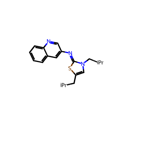 CC(C)Cc1cn(CC(C)C)c(=Nc2cnc3ccccc3c2)s1